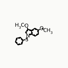 COc1ccc2c(c1)c(OC)cn2Sc1ccccc1